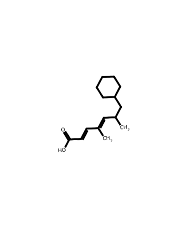 CC(/C=C/C(=O)O)=C\C(C)CC1CCCCC1